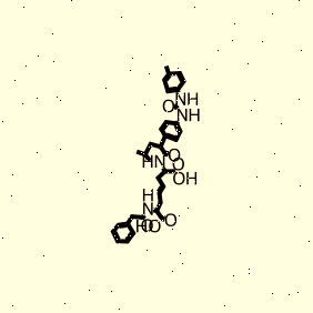 Cc1ccc(NC(=O)Nc2ccc(C(CC(C)C)C(=O)NC(CC=CCC(NC(=O)Cc3ccccc3)C(=O)O)C(=O)O)cc2)cc1